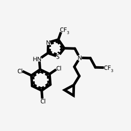 FC(F)(F)CCN(CCC1CC1)Cc1sc(Nc2c(Cl)cc(Cl)cc2Cl)nc1C(F)(F)F